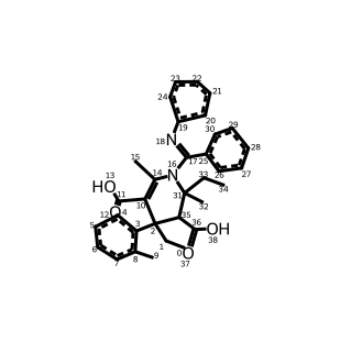 CCC1(c2ccccc2C)C(C(=O)O)=C(C)N(C(=Nc2ccccc2)c2ccccc2)C(C)(CC)C1C(=O)O